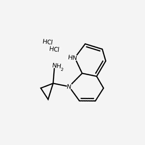 Cl.Cl.NC1(N2C=CCC3=CC=CNC32)CC1